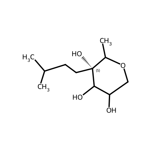 CC(C)CC[C@@]1(O)C(C)OCC(O)C1O